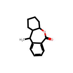 CC1c2ccccc2C(=O)OC2CCCCC21